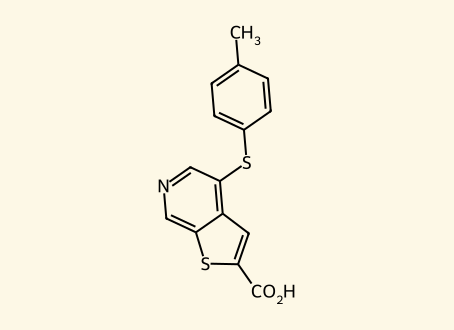 Cc1ccc(Sc2cncc3sc(C(=O)O)cc23)cc1